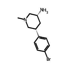 CN1C[C@H](N)C[C@H](c2ccc(Br)cc2)C1